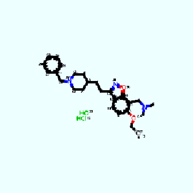 CN(C)Cc1c(OCC(F)(F)F)ccc2c(CCC3CCN(Cc4ccccc4)CC3)noc12.Cl.Cl